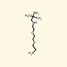 CC(C)(N)CNCCOCCOCCN